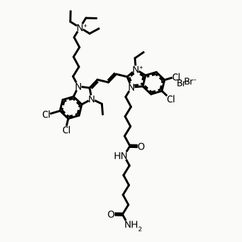 CCN1C(=CC=Cc2n(CCCCCC(=O)NCCCCCC(N)=O)c3cc(Cl)c(Cl)cc3[n+]2CC)N(CCCCC[N+](CC)(CC)CC)c2cc(Cl)c(Cl)cc21.[Br-].[Br-]